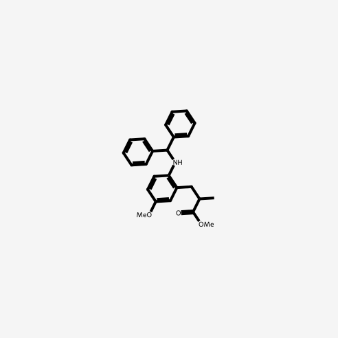 COC(=O)C(C)Cc1cc(OC)ccc1NC(c1ccccc1)c1ccccc1